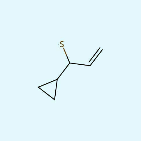 C=CC([S])C1CC1